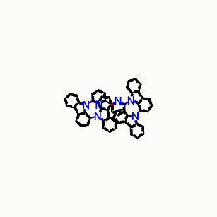 c1cc(-c2cccc(-n3c4ccccc4c4cccc(-n5c6ccccc6c6ccccc65)c43)n2)nc(-n2c3ccccc3c3cccc(-n4c5ccccc5c5ccccc54)c32)c1